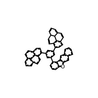 C1=CC2C=Cc3c(-c4cc(-c5ccc6ccc7cccc8ccc5c6c78)cc(-c5cccc6oc7cc8ccccc8cc7c56)c4)ccc4c3C2C(=C1)C=C4